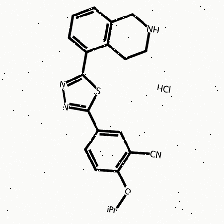 CC(C)Oc1ccc(-c2nnc(-c3cccc4c3CCNC4)s2)cc1C#N.Cl